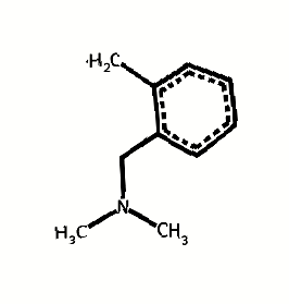 [CH2]c1ccccc1CN(C)C